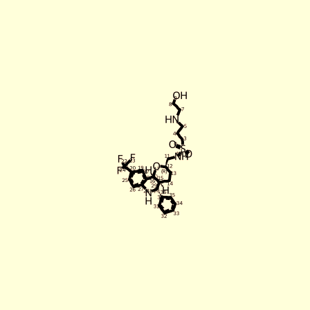 O=S(=O)(CCCNCCO)NC[C@H]1CC[C@@H]2[C@H](O1)c1cc(C(F)(F)F)ccc1N[C@H]2c1ccccc1